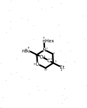 CCCCCCN1CC2(CC)COC1(CCCC)OC2